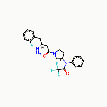 N[C@@H](CC(=O)N1CC[C@@H](N(C(=O)C(F)(F)F)c2ccccc2)C1)Cc1ccccc1F